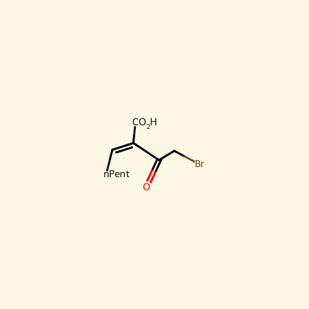 CCCCCC=C(C(=O)O)C(=O)CBr